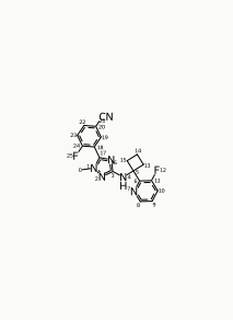 Cn1nc(NC2(c3ncccc3F)CCC2)nc1-c1cc(C#N)ccc1F